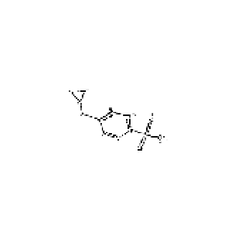 CS(=O)(=O)c1ncc(CC2CC2)cn1